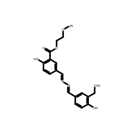 CCCOCCOC(=O)c1cc(/C=N/N=C/c2ccc(O)c(CC=O)c2)ccc1O